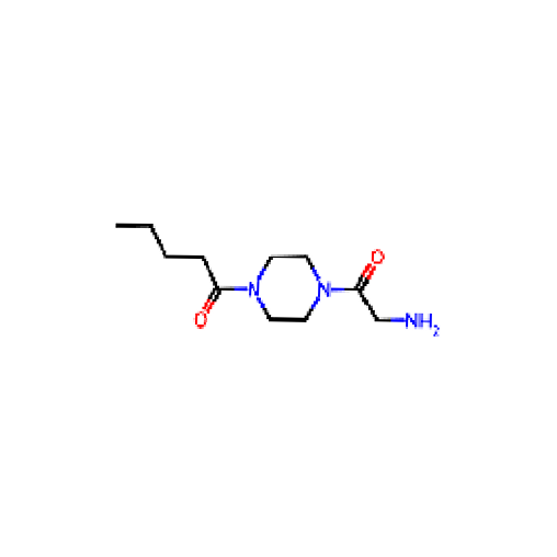 CCCCC(=O)N1CCN(C(=O)CN)CC1